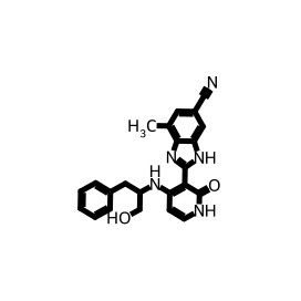 Cc1cc(C#N)cc2[nH]c(-c3c(NC(CO)Cc4ccccc4)cc[nH]c3=O)nc12